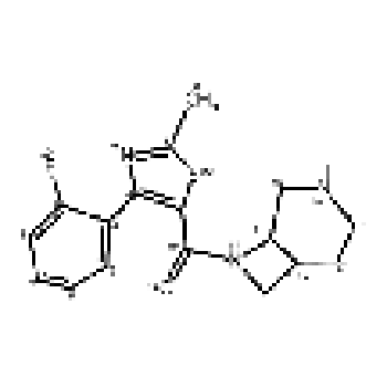 Cc1nc(-c2ccccc2F)c(C(=O)N2CC3CCNCC32)s1